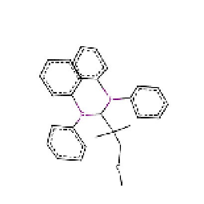 CCCC(C)(C)C(P(c1ccccc1)c1ccccc1)P(c1ccccc1)c1ccccc1